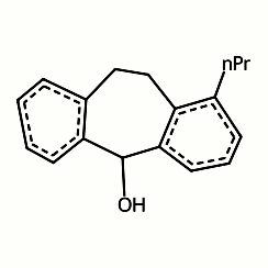 CCCc1cccc2c1CCc1ccccc1C2O